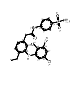 CCc1ccc(CC(=O)Nc2ccc(S(N)(=O)=O)cc2)cc1Oc1cc(Cl)cc(Br)c1Cl